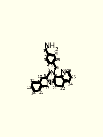 NCc1ccc(CN(CC2Cc3ccccc3CN2)C2CCCc3cccnc32)cc1